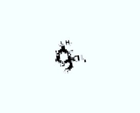 CC1=NC(C)(C=S)SC=N1